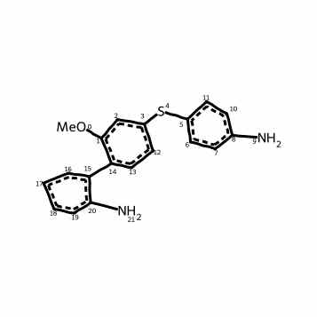 COc1cc(Sc2ccc(N)cc2)ccc1-c1ccccc1N